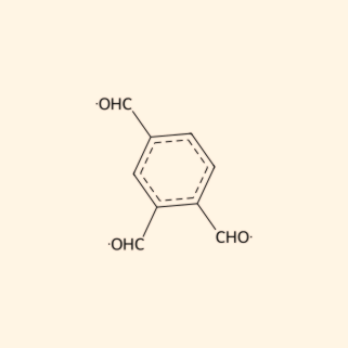 O=[C]c1ccc([C]=O)c([C]=O)c1